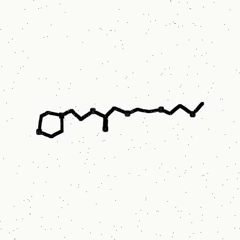 COCCOCCOCC(=O)OCCN1CCOCC1